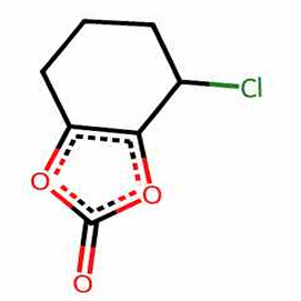 O=c1oc2c(o1)C(Cl)CCC2